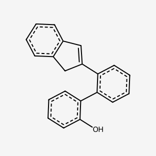 Oc1ccccc1-c1ccccc1C1=Cc2ccccc2C1